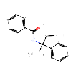 CC(CS(=O)(=O)O)(NC(=O)c1ccccc1)c1ccccc1.[NaH]